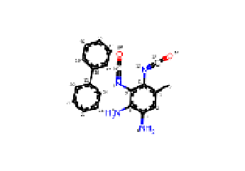 Cc1cc(N)c(N)c(N=C=O)c1N=C=O.c1ccc(-c2ccccc2)cc1